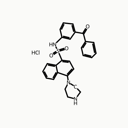 Cl.O=C(c1ccccc1)c1cccc(NS(=O)(=O)c2ccc(N3CCNCC3)c3ccccc23)c1